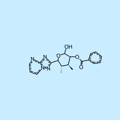 C[C@@H]1C(c2nc3ncccn3n2)OC(O)C(OC(=O)c2ccccc2)[C@H]1C